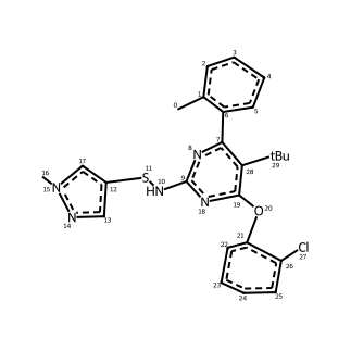 Cc1ccccc1-c1nc(NSc2cnn(C)c2)nc(Oc2ccccc2Cl)c1C(C)(C)C